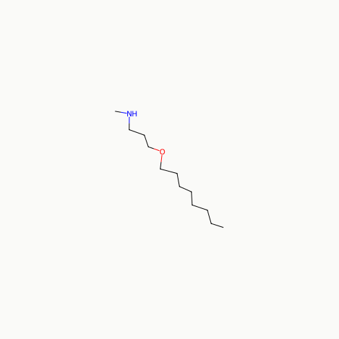 CCCCCCCCOCCCNC